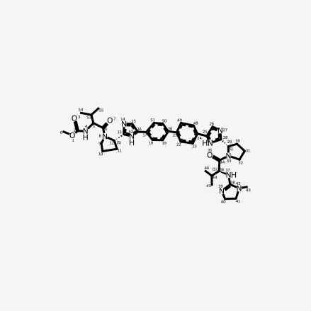 COC(=O)NC(C(=O)N1CCC[C@H]1c1ncc(-c2ccc(-c3ccc(-c4cnc([C@@H]5CCCN5C(=O)[C@@H](NC5=NCCN5C)C(C)C)[nH]4)cc3)cc2)[nH]1)C(C)C